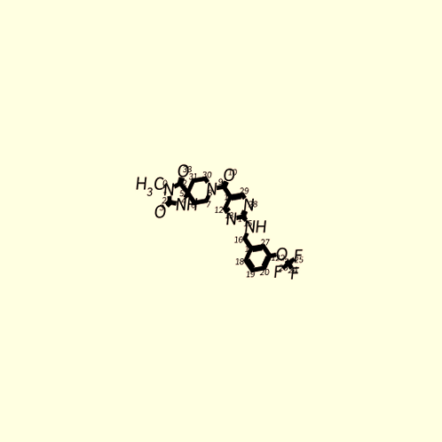 CN1C(=O)NC2(CCN(C(=O)c3cnc(NCc4cccc(OC(F)(F)F)c4)nc3)CC2)C1=O